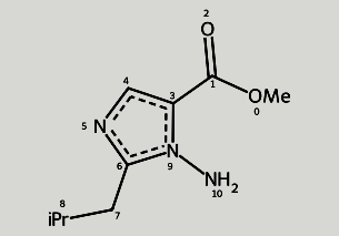 COC(=O)c1cnc(CC(C)C)n1N